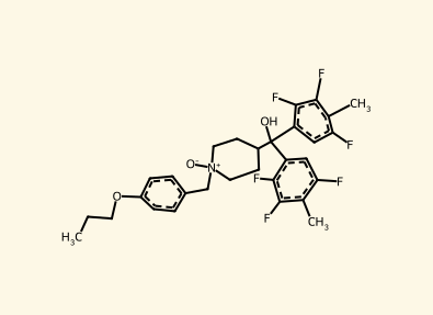 CCCOc1ccc(C[N+]2([O-])CCC(C(O)(c3cc(F)c(C)c(F)c3F)c3cc(F)c(C)c(F)c3F)CC2)cc1